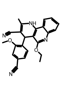 CCOc1nc2ccccc2c2c1C(c1ccc(C#N)cc1OC)C(C#N)=C(C)N2